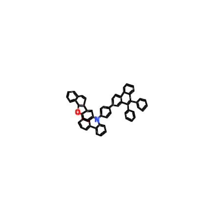 c1ccc(-c2ccccc2N(c2ccc(-c3ccc4c(c3)c(-c3ccccc3)c(-c3ccccc3)c3ccccc34)cc2)c2ccc3oc4c5ccccc5ccc4c3c2)cc1